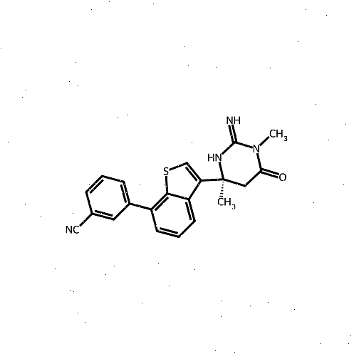 CN1C(=N)N[C@](C)(c2csc3c(-c4cccc(C#N)c4)cccc23)CC1=O